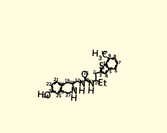 CCC(Cc1cc2cccc(C)c2s1)NC(=O)NCC1Cc2ccc(O)cc2CN1